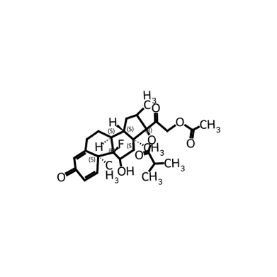 CC(=O)OCC(=O)[C@@]1(OC(=O)C(C)C)C(C)C[C@H]2[C@@H]3CCC4=CC(=O)C=C[C@]4(C)[C@@]3(F)C(O)C[C@@]21C